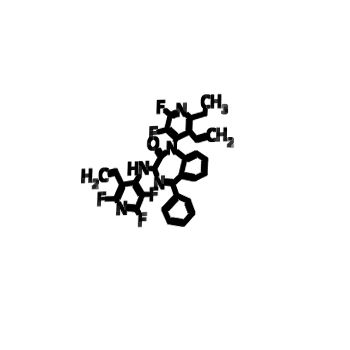 C=Cc1c(F)nc(F)c(F)c1NC1N=C(c2ccccc2)c2ccccc2N(c2c(F)c(F)nc(CC)c2C=C)C1=O